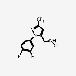 Fc1ccc(-n2nc(C(F)(F)F)cc2CNCl)cc1F